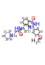 COc1ccc(C2NC(=O)c3cccc4c3N2CCC4NC(=O)CCN2CCCCC2)cc1